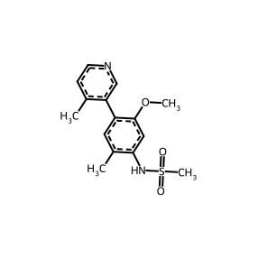 COc1cc(NS(C)(=O)=O)c(C)cc1-c1cnccc1C